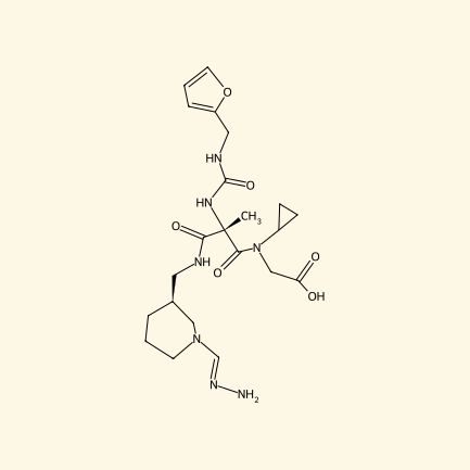 C[C@](NC(=O)NCc1ccco1)(C(=O)NC[C@@H]1CCCN(C=NN)C1)C(=O)N(CC(=O)O)C1CC1